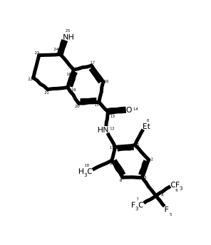 CCc1cc(C(F)(C(F)(F)F)C(F)(F)F)cc(C)c1NC(=O)c1ccc2c(c1)CCCC2=N